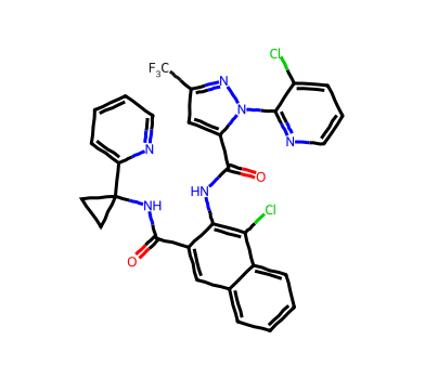 O=C(NC1(c2ccccn2)CC1)c1cc2ccccc2c(Cl)c1NC(=O)c1cc(C(F)(F)F)nn1-c1ncccc1Cl